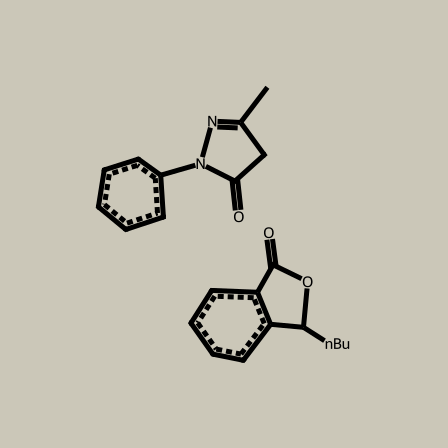 CC1=NN(c2ccccc2)C(=O)C1.CCCCC1OC(=O)c2ccccc21